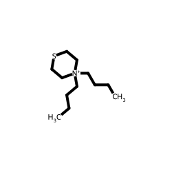 CCCC[N+]1(CCCC)CCSCC1